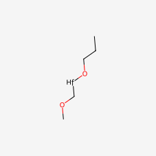 CCC[O][Hf][CH2]OC